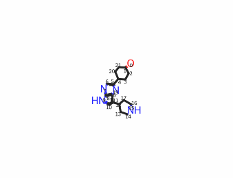 O=C1CCC(c2cnc3[nH]cc(C4CCNCC4)c3n2)CC1